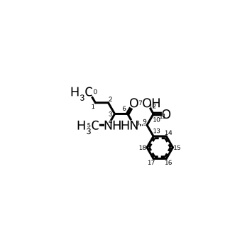 CCCC(NC)C(=O)N[C@H](C(=O)O)c1ccccc1